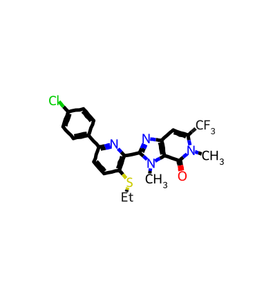 CCSc1ccc(-c2ccc(Cl)cc2)nc1-c1nc2cc(C(F)(F)F)n(C)c(=O)c2n1C